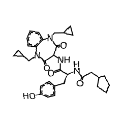 O=C(CC1CCCC1)N[C@@H](Cc1ccc(O)cc1)C(=O)NC1C(=O)N(CC2CC2)c2ccccc2N(CC2CC2)C1=O